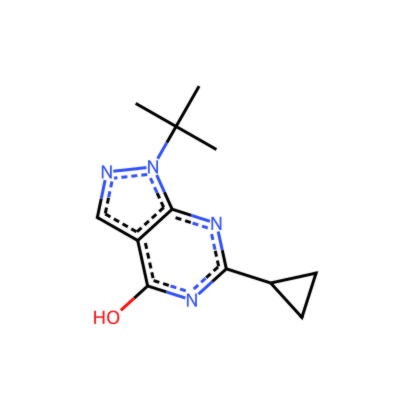 CC(C)(C)n1ncc2c(O)nc(C3CC3)nc21